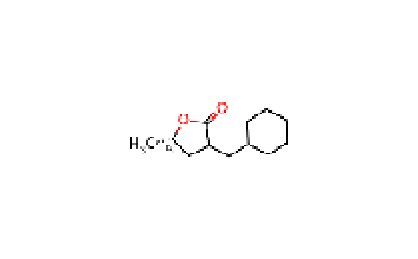 C[C@H]1CC(CC2CCCCC2)C(=O)O1